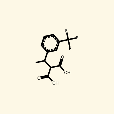 CC(c1cccc(C(F)(F)F)c1)C(C(=O)O)C(=O)O